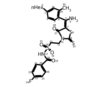 CCCCCCc1ccc(C(N)=C2SC(=S)N(CCS(=O)(=O)NC(=O)c3ccc(F)cc3)C2=O)c(C)c1